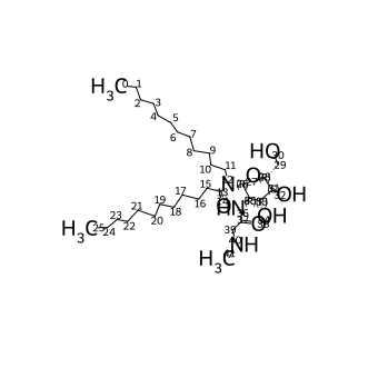 CCCCCCCCCCCCN(C(=O)CCCCCCCCCCC)[C@@H]1O[C@H](CO)[C@@H](O)[C@H](O)[C@H]1NC(=O)CNC